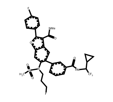 CNC(=O)c1c(-c2ccc(F)cc2)oc2cc(N(CCCF)S(C)(=O)=O)c(-c3cccc(C(=O)NC(C4CC4)C(F)(F)F)c3)cc12